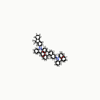 CC1(C)c2ccccc2-c2ccc(N(c3ccc4c(c3)c3ccccc3c3c5ccc(N(C6=CC=CCC6)c6ccccc6-c6c#cccc6)cc5ccc43)c3ccccc3-c3ccccc3)cc21